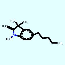 C=C1N(C)c2ccc(CCCCC)cc2C1(C)C